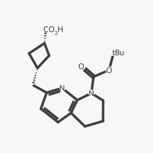 CC(C)(C)OC(=O)N1CCCc2ccc(C[C@H]3C[C@@H](C(=O)O)C3)nc21